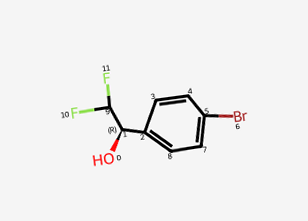 O[C@H](c1ccc(Br)cc1)C(F)F